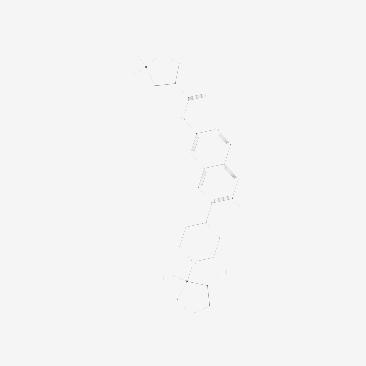 CC1(C)CC(C(=O)Nc2cc3cc(C4CCN(C5(C)COCC5O)CC4)c(Cl)cc3cn2)CO1